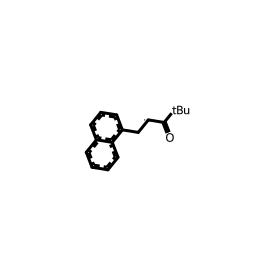 CC(C)(C)C(=O)[CH]Cc1cccc2ccccc12